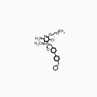 CNc1c(N)nc(OCCOC)c(Cl)c1N(C=O)Cc1ccc(-c2ccc(CN3CCCC3)cc2)cc1